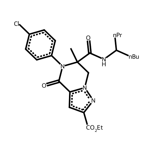 CCCCC(CCC)NC(=O)C1(C)Cn2nc(C(=O)OCC)cc2C(=O)N1c1ccc(Cl)cc1